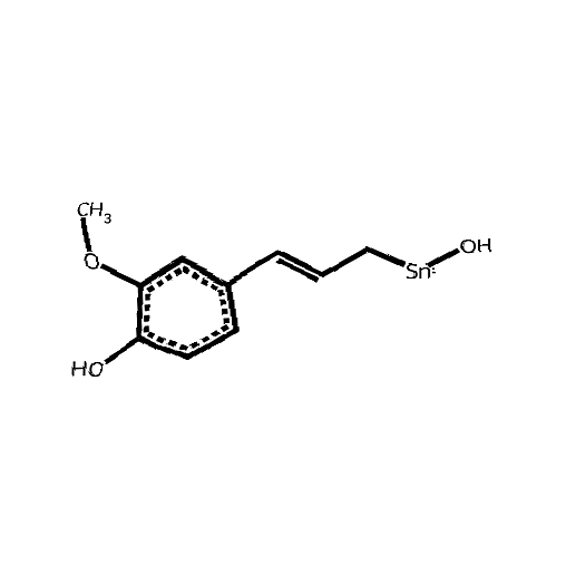 COc1cc(C=C[CH2][Sn][OH])ccc1O